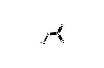 O=S(=O)=NO